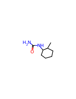 C[C]1CCCCC1NC(N)=O